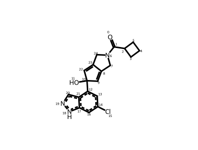 O=C(C1CCC1)N1CC2=CC(O)(c3cc(Cl)cc4[nH]ncc34)C=C2C1